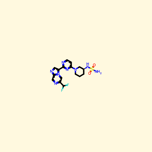 NS(=O)(=O)N[C@H]1CCCN(c2ccnc(-c3cnc4cnc(C(F)F)cn34)n2)C1